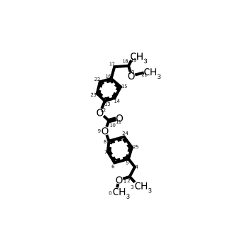 COC(C)Cc1ccc(OC(=O)Oc2ccc(CC(C)OC)cc2)cc1